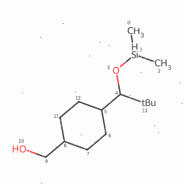 C[SiH](C)OC(C1CCC(CO)CC1)C(C)(C)C